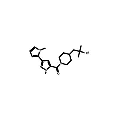 Cn1cccc1-c1cc(C(=O)N2CCC(CC(C)(C)O)CC2)[nH]n1